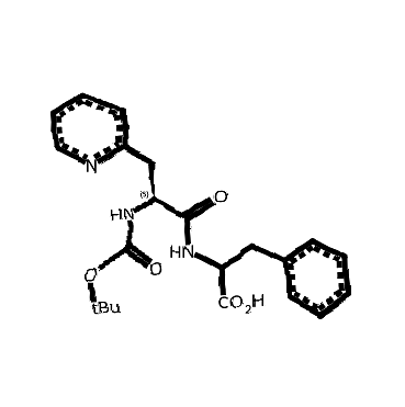 CC(C)(C)OC(=O)N[C@@H](Cc1ccccn1)C(=O)NC(Cc1ccccc1)C(=O)O